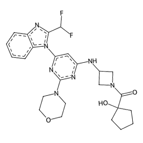 O=C(N1CC(Nc2cc(-n3c(C(F)F)nc4ccccc43)nc(N3CCOCC3)n2)C1)C1(O)CCCC1